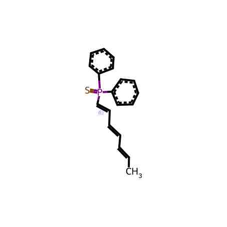 CC=CC=C/C=C/P(=S)(c1ccccc1)c1ccccc1